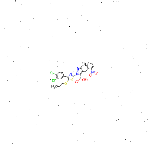 CCCSc1sc(-n2nc(C)c(Cc3ccccc3[N+](=O)[O-])c2C(=O)O)nc1-c1ccc(Cl)c(Cl)c1